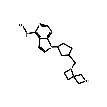 CNc1ncnc2c1ccn2C1CCC(CN2CCC23CNC3)C1